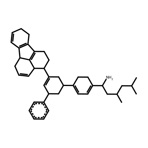 CC(C)CC(C)CC(N)C1=CC=C(C2CC(C3CCC4=C5C(CC=CC53)C3=C4CCC=C3)=CC(c3ccccc3)C2)CC1